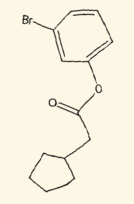 O=C(CC1CCCC1)Oc1cccc(Br)c1